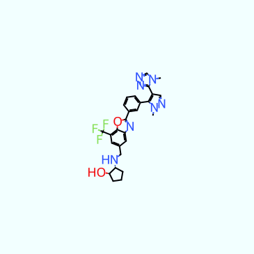 Cn1cnnc1-c1cnn(C)c1-c1cccc(-c2nc3cc(CN[C@@H]4CCC[C@H]4O)cc(C(F)(F)F)c3o2)c1